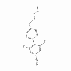 CCCCCc1ccc(-c2c(F)cc(C#N)cc2F)cc1